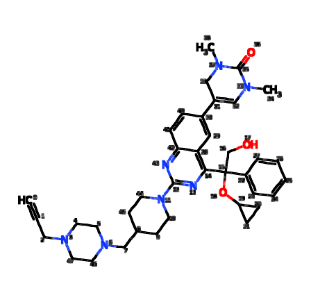 C#CCN1CCN(CC2CCN(c3nc(C(CO)(OC4CC4)c4ccccc4)c4cc(C5=CN(C)C(=O)N(C)C5)ccc4n3)CC2)CC1